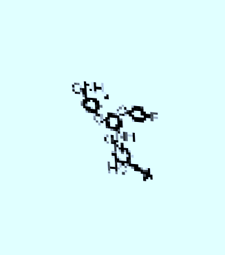 CC(C)(C)C#CC1(O)CCN(C(=O)Nc2cc(Oc3ccc(F)cc3)cc(Oc3ccc(C(N)=O)cc3)c2)CC1